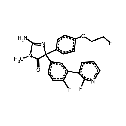 CN1C(=O)C(c2ccc(OCCF)cc2)(c2ccc(F)c(-c3cccnc3F)c2)N=C1N